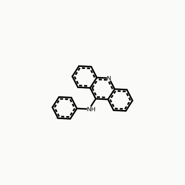 [c]1cccc(Nc2c3ccccc3nc3ccccc23)c1